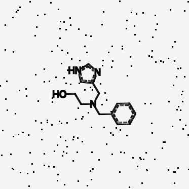 OCCN(Cc1ccccc1)Cc1c[nH]cn1